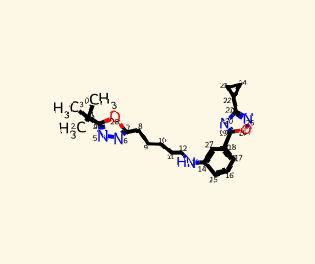 CC(C)(C)c1nnc(CCCCCNc2cccc(-c3nc(C4CC4)no3)c2)o1